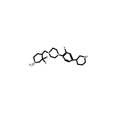 NN1CCC(CN2CCN(c3ccc(C4CCCNC4)cc3F)CC2)C(F)(F)C1